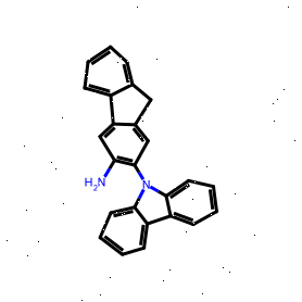 Nc1cc2c(cc1-n1c3ccccc3c3ccccc31)Cc1ccccc1-2